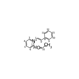 C(=C[n+]1ccccc1)c1ccccc1.CCO